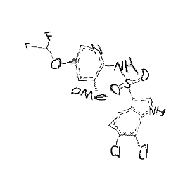 COc1cc(OC(F)F)cnc1NS(=O)(=O)c1c[nH]c2c(Cl)c(Cl)ccc12